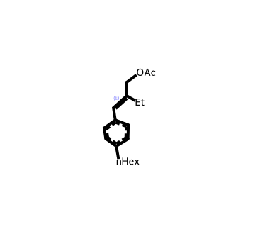 CCCCCCc1ccc(/C=C(\CC)COC(C)=O)cc1